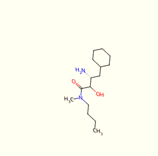 CCCCN(C)C(=O)C(O)[C@H](N)CC1CCCCC1